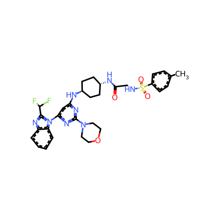 Cc1ccc(S(=O)(=O)NCC(=O)N[C@H]2CC[C@H](Nc3cc(-n4c(C(F)F)nc5ccccc54)nc(N4CCOCC4)n3)CC2)cc1